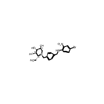 O=[N+]([O-])c1cc(Br)ccc1NCc1ccc(CN2C[C@H](O)[C@@H](O)[C@H](O)[C@H]2CO)cc1